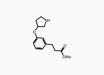 COC(=O)CCc1cccc(OC2CCNC2)c1